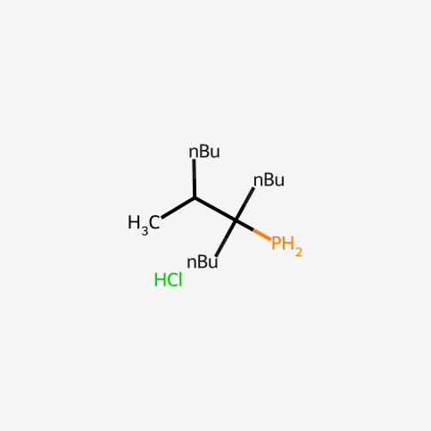 CCCCC(C)C(P)(CCCC)CCCC.Cl